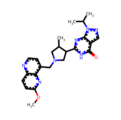 COc1ccc2nccc(CN3CC(C)C(c4nc5c(cnn5C(C)C)c(=O)[nH]4)C3)c2n1